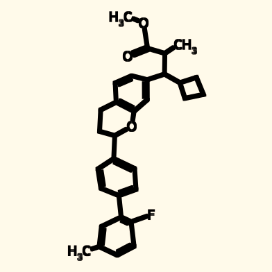 COC(=O)C(C)C(c1ccc2c(c1)OC(c1ccc(-c3cc(C)ccc3F)cc1)CC2)C1CCC1